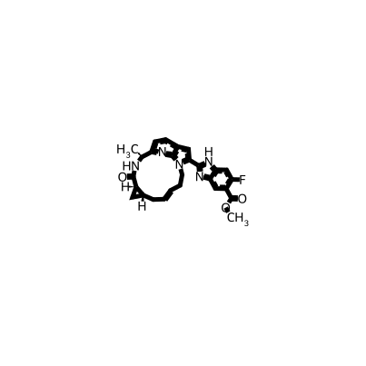 COC(=O)c1cc2nc(-c3cc4ccc5nc4n3CC/C=C/C[C@@H]3C[C@H]3C(=O)N[C@@H]5C)[nH]c2cc1F